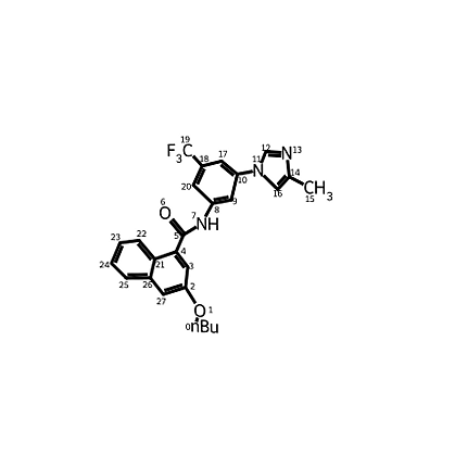 CCCCOc1cc(C(=O)Nc2cc(-n3cnc(C)c3)cc(C(F)(F)F)c2)c2ccccc2c1